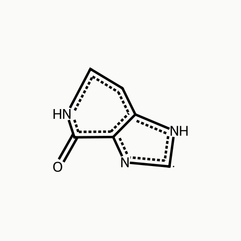 O=c1[nH]ccc2[nH][c]nc12